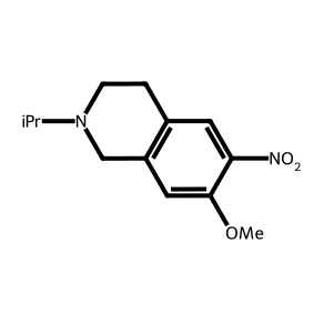 COc1cc2c(cc1[N+](=O)[O-])CCN(C(C)C)C2